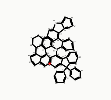 c1ccc(C2(c3ccccc3)c3ccccc3-c3c(N(c4ccccc4-c4cccc5cccc(C6CCCCC6)c45)c4ccccc4-c4cccc5sc6ccccc6c45)cccc32)cc1